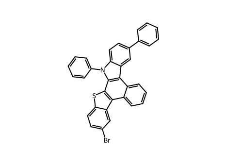 Brc1ccc2sc3c(c2c1)c1ccccc1c1c2cc(-c4ccccc4)ccc2n(-c2ccccc2)c31